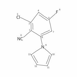 N#Cc1c(Cl)cc(F)cc1-n1cccc1